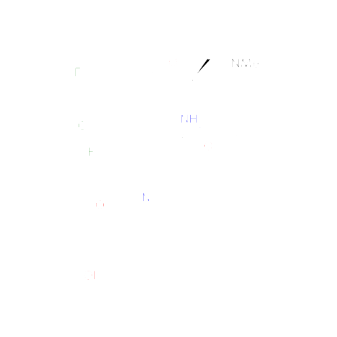 CNC[C@@]1(c2ccccc2)Cc2c(cc(F)c(Cl)c2-c2c(C(N)=O)cnc(OCCO)c2F)O1